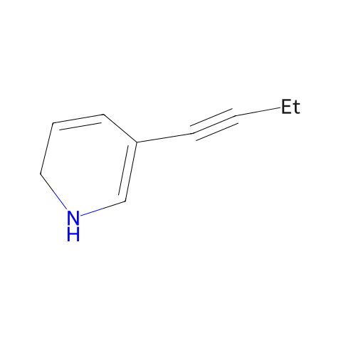 CCC#CC1=CNCC=C1